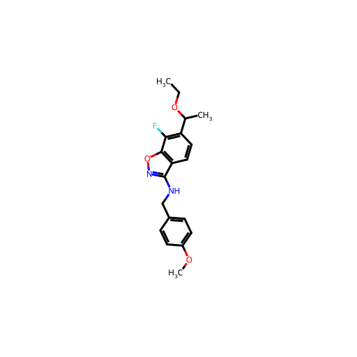 CCOC(C)c1ccc2c(NCc3ccc(OC)cc3)noc2c1F